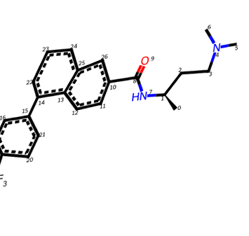 C[C@H](CCN(C)C)NC(=O)c1ccc2c(-c3ccc(C(F)(F)F)cc3)cccc2c1